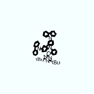 CC(C)(C)c1nc(Oc2ccccc2-n2c3ccc(-n4c5ccccc5c5ccccc54)cc3c3cc(-n4c5ccccc5c5ccccc54)ccc32)nc(C(C)(C)C)n1